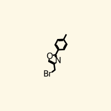 Cc1ccc(-c2nc(CBr)co2)cc1